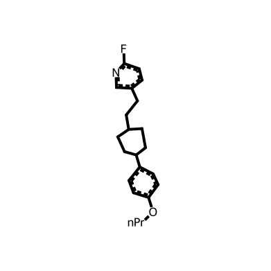 CCCOc1ccc(C2CCC(CCc3ccc(F)nc3)CC2)cc1